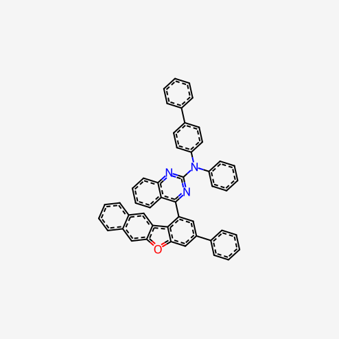 c1ccc(-c2ccc(N(c3ccccc3)c3nc(-c4cc(-c5ccccc5)cc5oc6cc7ccccc7cc6c45)c4ccccc4n3)cc2)cc1